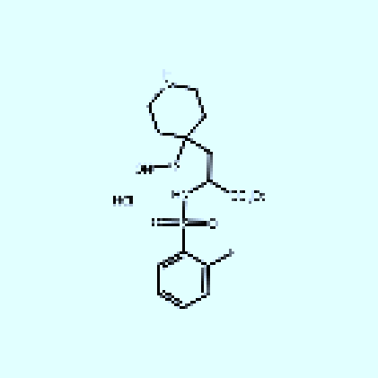 CCOC(=O)C(CC1(SN=O)CCNCC1)NS(=O)(=O)c1ccccc1F.Cl